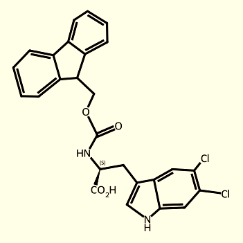 O=C(N[C@@H](Cc1c[nH]c2cc(Cl)c(Cl)cc12)C(=O)O)OCC1c2ccccc2-c2ccccc21